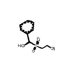 N#CCCS(=O)(=O)C(O)c1ccccc1